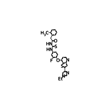 CCn1cnc(-c2cc3nccc(Oc4ccc(NC(=S)NC(=O)Cc5ccccc5C)cc4F)c3s2)c1